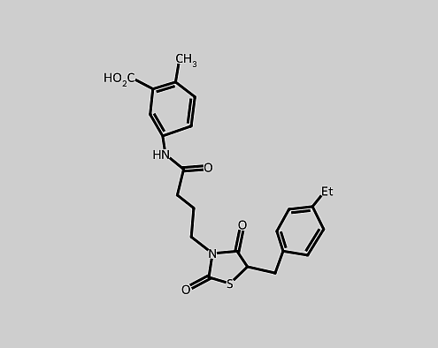 CCc1ccc(CC2SC(=O)N(CCCC(=O)Nc3ccc(C)c(C(=O)O)c3)C2=O)cc1